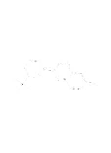 Cc1ccc2nc(-c3cccc(C(C)(C)C)c3)cnc2c1